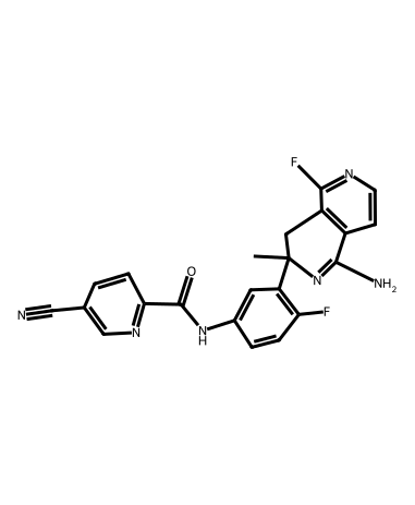 CC1(c2cc(NC(=O)c3ccc(C#N)cn3)ccc2F)Cc2c(ccnc2F)C(N)=N1